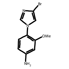 COc1cc(N)ccc1-n1cnc(Br)c1